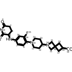 O=C1CCC(Nc2ccc(N3CCC(N4CC5(CC(C(=O)O)C5)C4)CC3)c(F)c2)C(=O)N1